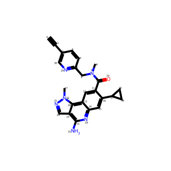 C#Cc1ccc(CN(C)C(=O)c2cc3c(cc2C2CC2)nc(N)c2cnn(C)c23)nc1